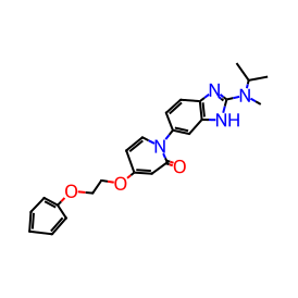 CC(C)N(C)c1nc2ccc(-n3ccc(OCCOc4ccccc4)cc3=O)cc2[nH]1